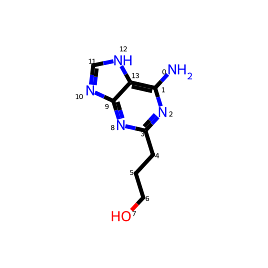 Nc1nc(CCCO)nc2nc[nH]c12